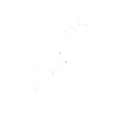 C=C1[C@H](CCCc2ccc(C(=O)N(C)C)c(Cl)c2)C12CCN(C(=O)[C@H](c1cccc(OC)c1)C(F)(F)F)CC2